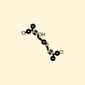 OC(CC#Cc1ccc(OCCCN2CCN(C(c3ccccc3)c3ccc(Cl)cc3)CC2)cc1)N1CCN(C(c2ccccc2)c2ccc(Cl)cc2)CC1